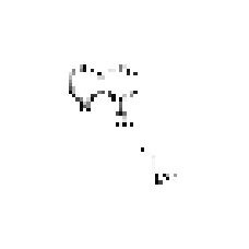 CC(=O)OCCCOc1cccc2cccnc12